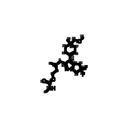 CNC(=O)OCCN(C)Cc1nn2c(c1C1=CCC(C)(COC)CC1)CC(F)(F)C2